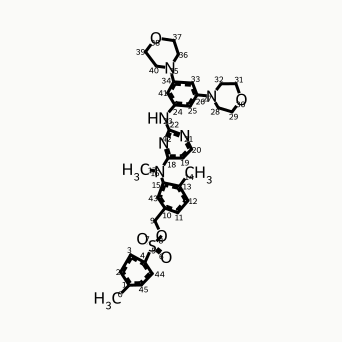 Cc1ccc(S(=O)(=O)OCc2ccc(C)c(N(C)c3ccnc(Nc4cc(N5CCOCC5)cc(N5CCOCC5)c4)n3)c2)cc1